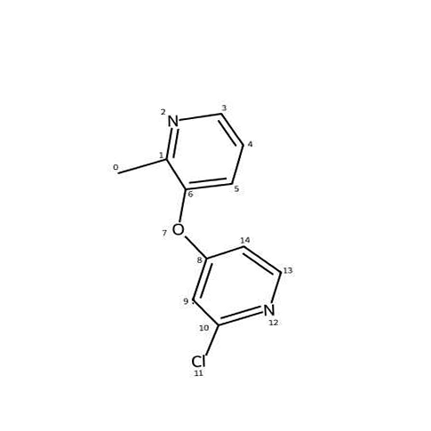 Cc1ncccc1Oc1[c]c(Cl)ncc1